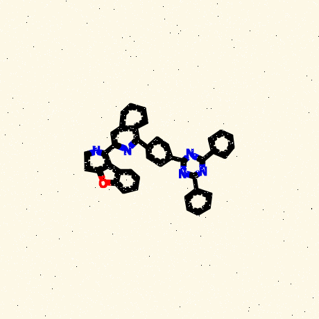 c1ccc(-c2nc(-c3ccccc3)nc(-c3ccc(-c4nc(-c5nccc6oc7ccccc7c56)cc5ccccc45)cc3)n2)cc1